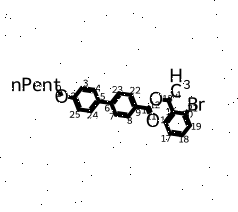 CCCCCOc1ccc(-c2ccc(C(=O)OC(C)c3ccccc3Br)cc2)cc1